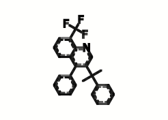 CC(C)(c1ccccc1)c1cnc2c(C(F)(F)F)cccc2c1-c1ccccc1